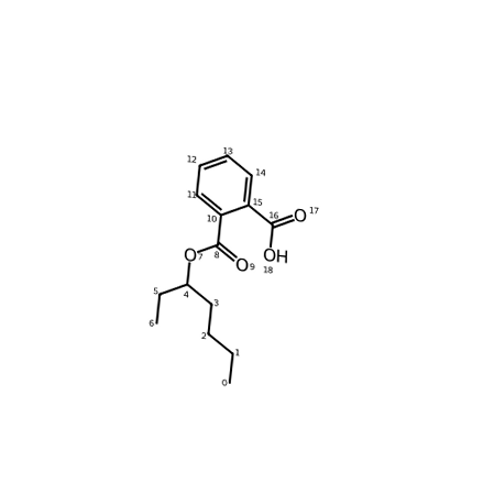 CCCCC(CC)OC(=O)c1ccccc1C(=O)O